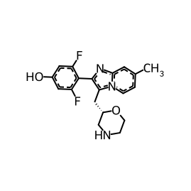 Cc1ccn2c(C[C@H]3CNCCO3)c(-c3c(F)cc(O)cc3F)nc2c1